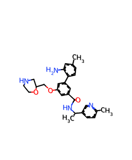 Cc1ccc(-c2cc(OCC3CNCCO3)cc(C(=O)N[C@H](C)c3ccc(C)nc3)c2)c(N)c1